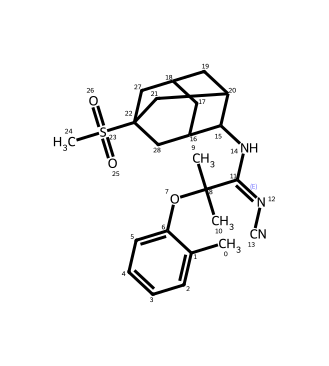 Cc1ccccc1OC(C)(C)/C(=N\C#N)NC1C2CC3CC1CC(S(C)(=O)=O)(C3)C2